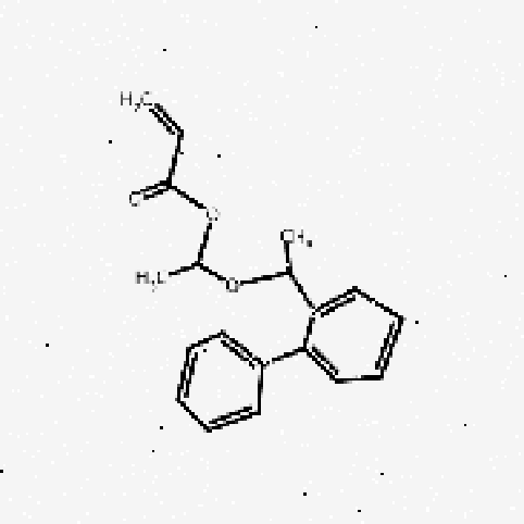 C=CC(=O)OC(C)OC(C)c1ccccc1-c1ccccc1